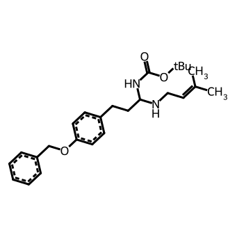 CC(C)=CCNC(CCc1ccc(OCc2ccccc2)cc1)NC(=O)OC(C)(C)C